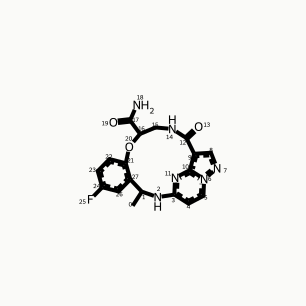 CC1Nc2ccn3ncc(c3n2)C(=O)NCC(C(N)=O)Oc2ccc(F)cc21